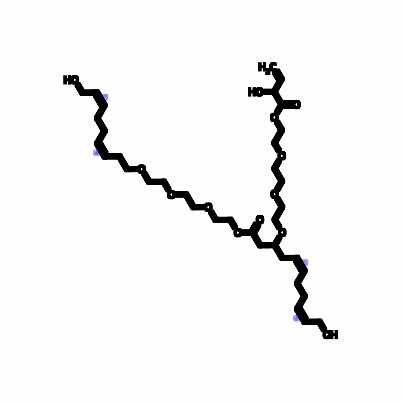 C=CC(O)C(=O)OCCOCCOCCOC(C/C=C\CC/C=C\CO)CC(=O)OCCOCCOCCOCC/C=C\CC/C=C\CO